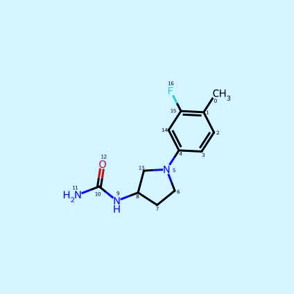 Cc1ccc(N2CCC(NC(N)=O)C2)cc1F